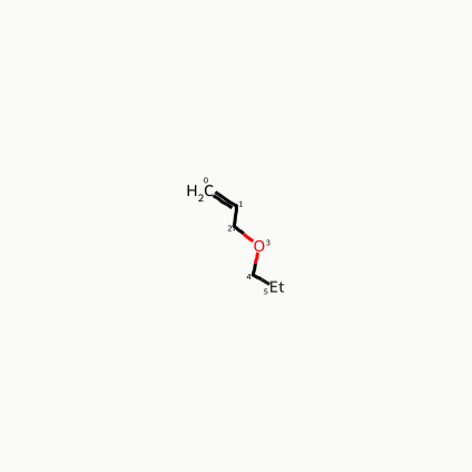 C=C[CH]OCCC